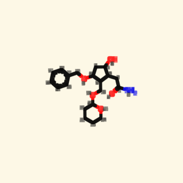 NC(=O)CC1C(O)CC(OCc2ccccc2)C1COC1CCCCO1